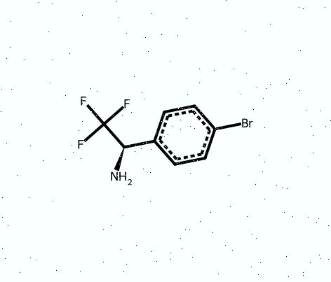 N[C@H](c1ccc(Br)cc1)C(F)(F)F